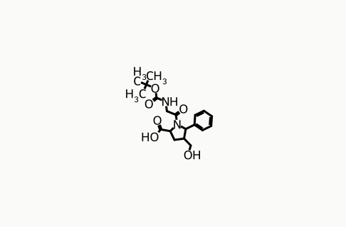 CC(C)(C)OC(=O)NCC(=O)N1C(C(=O)O)CC(CO)C1c1ccccc1